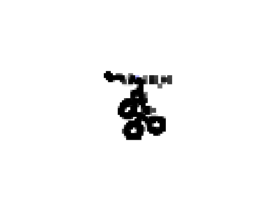 C=CCO/N=C(/C(=O)OCC)c1csc(NC(c2ccccc2)(c2ccccc2)c2ccccc2)n1